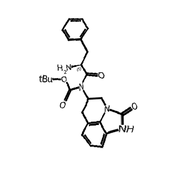 CC(C)(C)OC(=O)N(C(=O)[C@@H](N)Cc1ccccc1)C1Cc2cccc3[nH]c(=O)n(c23)C1